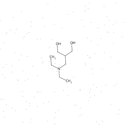 CCN(CC)CC(CO)CO